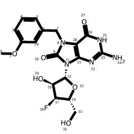 COc1cccc(Cn2c(=O)n([C@@H]3O[C@H](CO)[C@@H](F)[C@H]3O)c3nc(N)[nH]c(=O)c32)c1